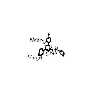 COCOc1cc(F)ccc1-c1cc(-c2cccc(C(=O)O)c2)c(C#N)c(NC(=O)c2cccs2)n1